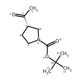 CC(=O)[C@H]1CCN(C(=O)OC(C)(C)C)C1